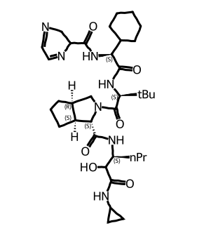 CCC[C@H](NC(=O)[C@@H]1[C@H]2CCC[C@H]2CN1C(=O)[C@@H](NC(=O)[C@@H](NC(=O)C1CN=CC=N1)C1CCCCC1)C(C)(C)C)C(O)C(=O)NC1CC1